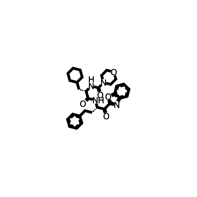 O=C(N[C@@H](CCc1ccccc1)C(=O)c1nc2ccccc2o1)[C@H](CC1CCCCC1)NC(=O)N1CCOCC1